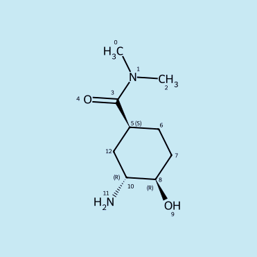 CN(C)C(=O)[C@H]1CC[C@@H](O)[C@H](N)C1